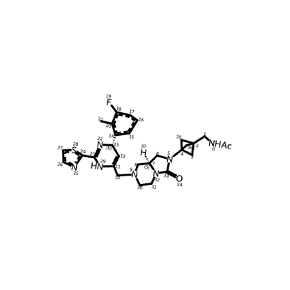 CC(=O)NCC12CC(N3C[C@@H]4CN(CC5=C[C@@H](c6cccc(F)c6C)N=C(c6nccs6)N5)CCN4C3=O)(C1)C2